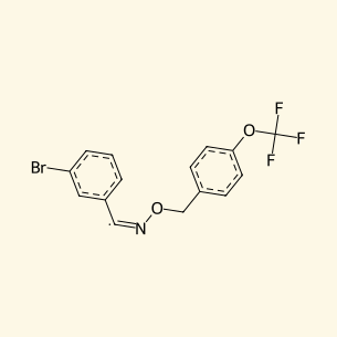 FC(F)(F)Oc1ccc(CO/N=[C]\c2cccc(Br)c2)cc1